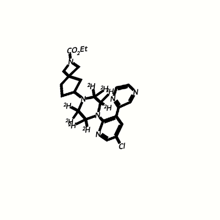 [2H]C1([2H])N(c2ncc(Cl)cc2-c2cnccn2)C([2H])([2H])C([2H])([2H])N(C2CCC3(C2)CN(C(=O)OCC)C3)C1([2H])[2H]